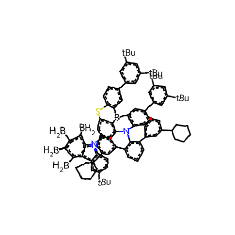 Bc1c(B)c(B)c2c(c1B)c1cc(C(C)(C)C)ccc1n2-c1cc2c3c(c1)N(c1c(-c4cccc(C5CCCCC5)c4)cccc1-c1cccc(C4CCCCC4)c1)c1ccc(-c4cc(C(C)(C)C)cc(C(C)(C)C)c4)cc1B3c1cc(-c3cc(C(C)(C)C)cc(C(C)(C)C)c3)ccc1S2